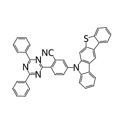 N#Cc1cc(-n2c3ccccc3c3cc4c(cc32)sc2ccccc24)ccc1-c1nc(-c2ccccc2)nc(-c2ccccc2)n1